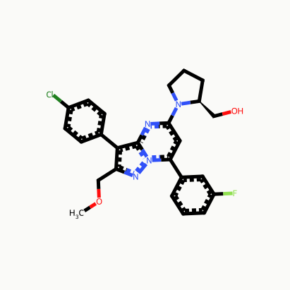 COCc1nn2c(-c3cccc(F)c3)cc(N3CCC[C@H]3CO)nc2c1-c1ccc(Cl)cc1